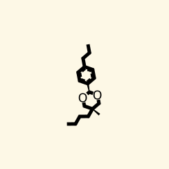 CCCC[C@]1(C)CO[C@@H](c2ccc(CCC)cc2)OC1